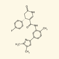 Cc1ccc(-c2cc(C)n(C)n2)cc1NC(=O)C1=CNC(=O)C[C@H]1c1ccc(F)cc1